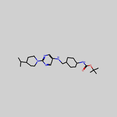 CC(C)C1CCN(c2ncc(NCC3CCC(NC(=O)OC(C)(C)C)CC3)cn2)CC1